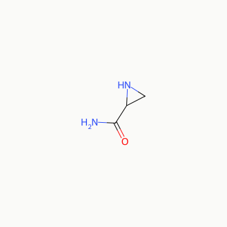 NC(=O)C1CN1